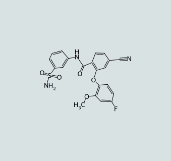 COc1cc(F)ccc1Oc1cc(C#N)ccc1C(=O)Nc1cccc(S(N)(=O)=O)c1